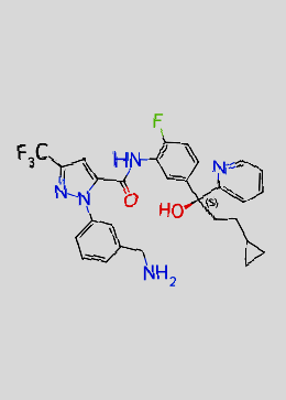 NCc1cccc(-n2nc(C(F)(F)F)cc2C(=O)Nc2cc([C@@](O)(CCC3CC3)c3ccccn3)ccc2F)c1